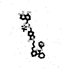 CC(C)(C)[Si](C)(C)O[C@@H](CNCc1ccc2c(c1)CN(CCCCc1cccc(C3(C(=O)OC4CN5CCC4CC5)CCCCC3)c1)C2=O)c1ccc(O)c2[nH]c(=O)ccc12